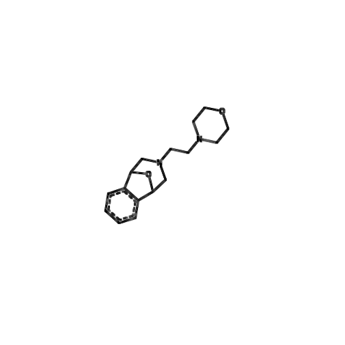 c1ccc2c(c1)C1CN(CCN3CCOCC3)CC2O1